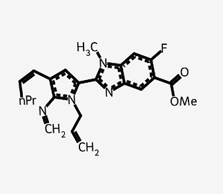 C=CCn1c(-c2nc3cc(C(=O)OC)c(F)cc3n2C)cc(/C=C\CCC)c1N=C